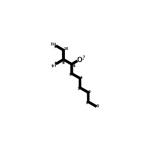 CCCCCCC([O])C(I)CI